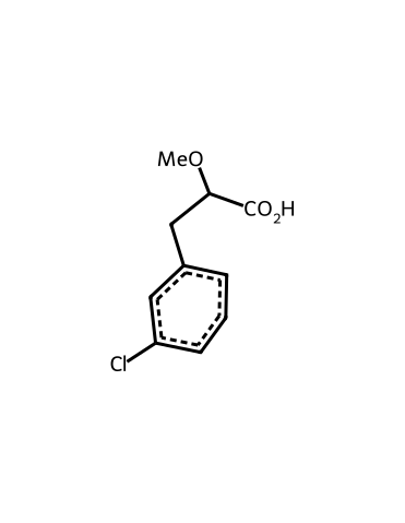 COC(Cc1cccc(Cl)c1)C(=O)O